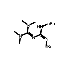 CCCC/N=C(\N=C(N(C)C)N(C)C)NCCCC